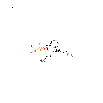 CCC[CH2][Sn+2][CH2]CCC.Cc1ccccc1.O=[PH]([O-])O[PH](=O)[O-]